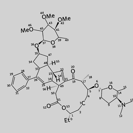 CC[C@H]1CCC[C@H](O[C@H]2CC[C@H](N(C)C)C(C)O2)[C@@H](C)C(=O)C2=C[C@@H]3C(C=C(c4ccccc4)C4C[C@@H](O[C@@H]5OC(C)[C@H](OC)C(OC)C5OC)C[C@H]43)[C@@H]2CC(=O)O1